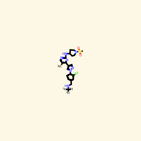 [2H]C([2H])([2H])NCc1ccc(-n2cc(-c3nc(NC4CCN(S(C)(=O)=O)CC4)ncc3C#N)cn2)c(Cl)c1